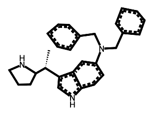 C[C@H](c1c[nH]c2ccc(N(Cc3ccccc3)Cc3ccccc3)cc12)C1CCCN1